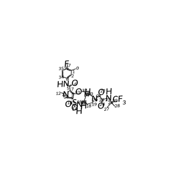 Cc1cc(NC(=O)c2c3c(cn2C)S(=O)(=O)N[C@@H]2CCN(C(=O)C(=O)NC(C)(C)C(F)(F)F)C[C@H]2CO3)ccc1F